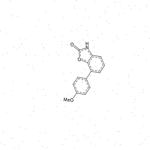 COc1ccc(-c2cccc3[nH]c(=O)oc23)cc1